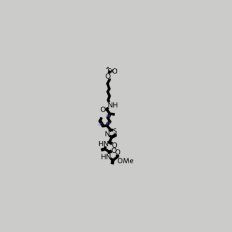 C=C(NC(=O)c1csc(C(/C=C\C)=C/C=C(\C)C(=O)NCCCCCCOS(C)=O)n1)C(=O)NC(=C)C(=O)OC